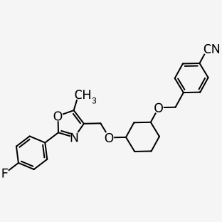 Cc1oc(-c2ccc(F)cc2)nc1COC1CCCC(OCc2ccc(C#N)cc2)C1